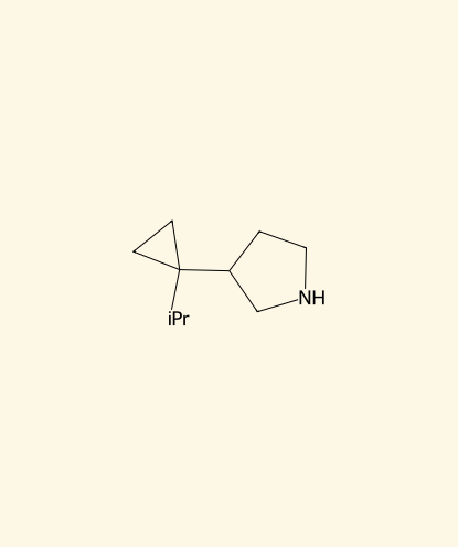 CC(C)C1(C2CCNC2)CC1